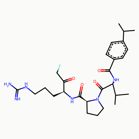 CC(C)c1ccc(C(=O)N[C@H](C(=O)N2CCC[C@H]2C(=O)N[C@@H](CCCNC(=N)N)C(=O)CF)C(C)C)cc1